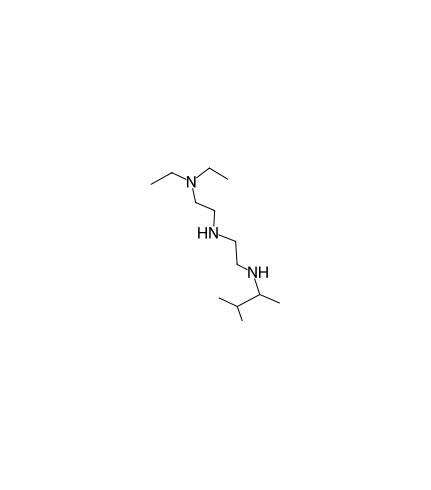 CCN(CC)CCNCCNC(C)C(C)C